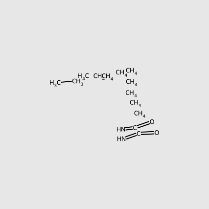 C.C.C.C.C.C.C.C.C.CC.N=C=O.N=C=O